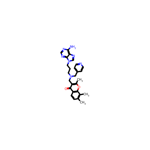 Cc1ccc2c(=O)c(CN(CCCn3cnc4c(N)ncnc43)Cc3ccncc3)c(C)oc2c1C